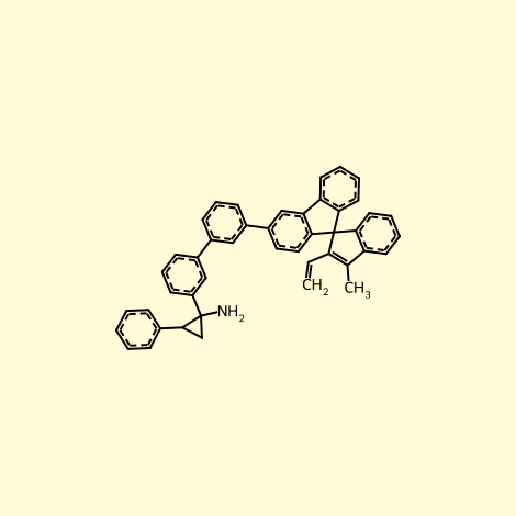 C=CC1=C(C)c2ccccc2C12c1ccccc1-c1cc(-c3cccc(-c4cccc(C5(N)CC5c5ccccc5)c4)c3)ccc12